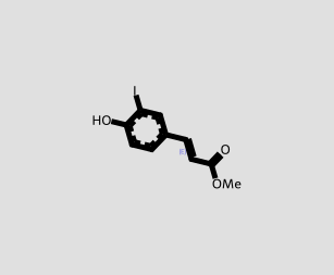 COC(=O)/C=C/c1ccc(O)c(I)c1